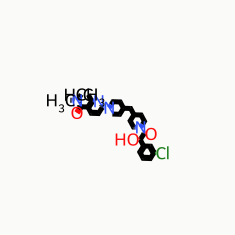 Cc1nc(N2CCC(CC3CCN(C(=O)C(O)c4cccc(Cl)c4)CC3)CC2)ccc1C(=O)N(C)C